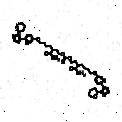 NC(=O)C(CCCCOc1ccc(-c2ccnn2C2CCCCO2)nc1)CCOC(=O)OCCC(CCCCOc1ccc(-c2ccnn2C2CCCCO2)nc1)C(N)=O